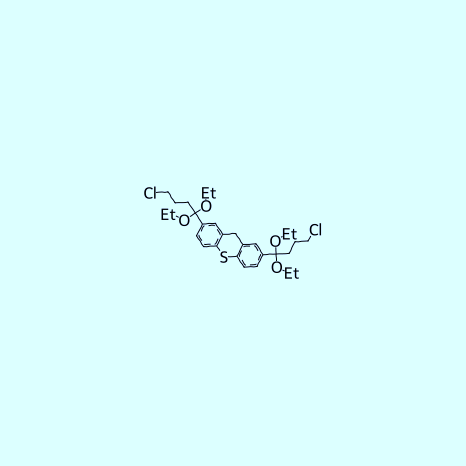 CCOC(CCCCl)(OCC)c1ccc2c(c1)Cc1cc(C(CCCCl)(OCC)OCC)ccc1S2